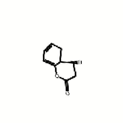 O=C1CC(=O)C2CC=CC=C2O1